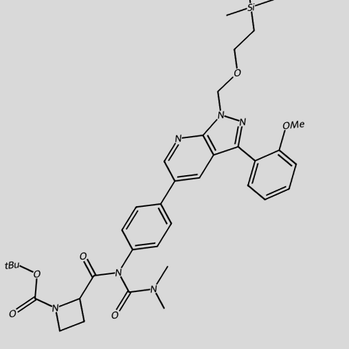 COc1ccccc1-c1nn(COCC[Si](C)(C)C)c2ncc(-c3ccc(N(C(=O)C4CCN4C(=O)OC(C)(C)C)C(=O)N(C)C)cc3)cc12